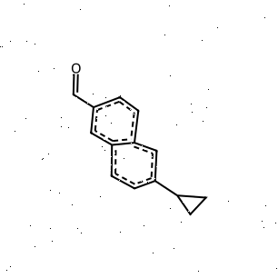 O=Cc1ccc2cc(C3CC3)ccc2c1